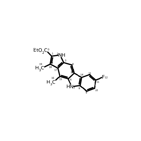 CCOC(=O)c1[nH]c2cc3c([nH]c4ccc(F)cc43)c(C)c2c1C